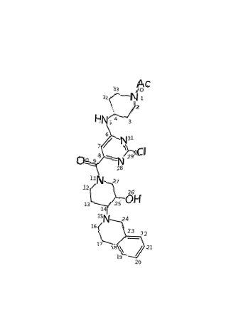 CC(=O)N1CCC(Nc2cc(C(=O)N3CCC(N4CCc5ccccc5C4)C(O)C3)nc(Cl)n2)CC1